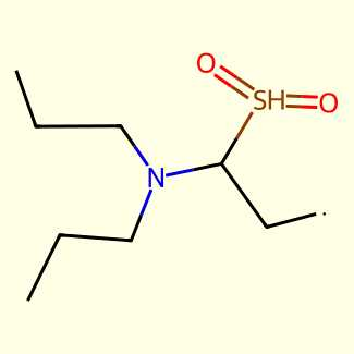 [CH2]CC(N(CCC)CCC)[SH](=O)=O